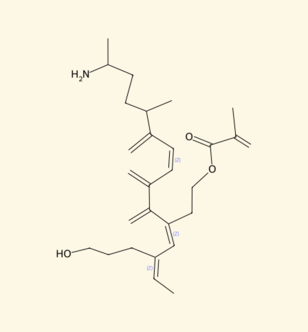 C=C(C)C(=O)OCC/C(=C/C(=C\C)CCCO)C(=C)C(=C)/C=C\C(=C)C(C)CCC(C)N